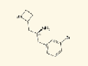 N[C@@H](Cc1cccc(Br)c1)CC1CCN1